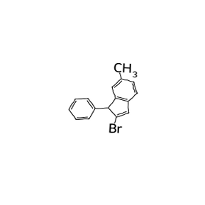 Cc1ccc2c(c1)C(c1ccccc1)C(Br)=C2